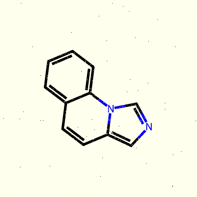 c1ccc2c(c1)ccc1cncn12